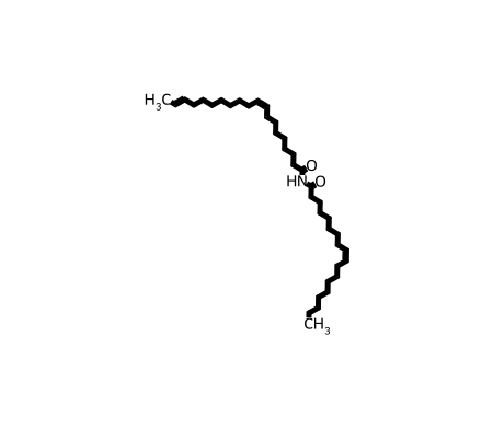 CC=CCCCCCCC/C=C\CCCCCCCC(=O)NC(=O)CCCCCCC/C=C\CCCCCCCC